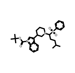 CC(C)CCC(N1CCCC(c2cn(C(=O)OC(C)(C)C)c3ccccc23)C1)S(=O)(=O)c1ccccc1